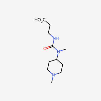 CN1CCC(N(C)C(=O)NCCC(=O)O)CC1